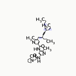 C\C=C/C(C#C/C(=C/c1cc(C(=O)Nc2cc(NC(=O)CN3CCCC3C)cnc2C)cnc1C)CCC)=C\C=C\CC